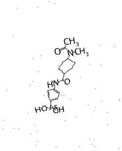 CC(=O)N(C)C1CCC(C(=O)Nc2ccc([As](O)O)cc2)CC1